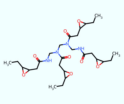 CCC1OC1CC(=O)NCN(CN(CNC(=O)CC1OC1CC)C(=O)CC1OC1CC)C(=O)CC1OC1CC